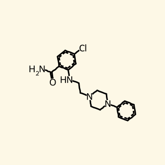 NC(=O)c1ccc(Cl)cc1NCCN1CCN(c2ccccc2)CC1